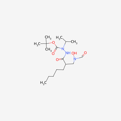 CCCCCC(CN(O)C=O)C(=O)NN(C(=O)OC(C)(C)C)C(C)C